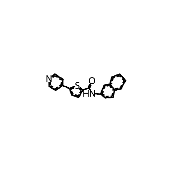 O=C(Nc1ccc2ccccc2c1)c1ccc(-c2ccncc2)s1